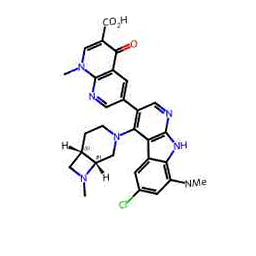 CNc1cc(Cl)cc2c1[nH]c1ncc(-c3cnc4c(c3)c(=O)c(C(=O)O)cn4C)c(N3CC[C@H]4CN(C)[C@H]4C3)c12